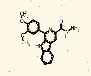 COc1ccc(-c2nc(C(=O)NN)cc3c2[nH]c2ccccc23)cc1OC